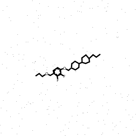 CCCOCc1ccc(OCC2CCC(C3CCC(CCC)CC3)CC2)c(F)c1F